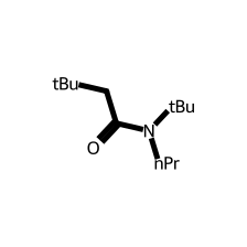 CCCN(C(=O)CC(C)(C)C)C(C)(C)C